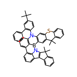 Cc1cc2c3c(c1)N(c1ccc(C(C)(C)C)cc1-c1ccccc1)c1cc4c(cc1B3n1c3c(c5cccc-2c51)-c1ccccc1C3(C)C)C(C)(C)c1ccccc1S4